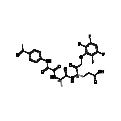 CC(=O)c1ccc(NC(=O)C(=O)N[C@@H](C)C(=O)N[C@@H](CCC(=O)O)C(=O)COc2c(F)c(F)cc(F)c2F)cc1